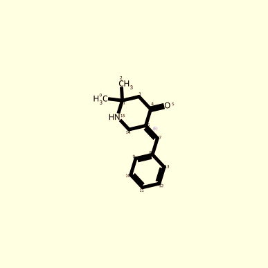 CC1(C)CC(=O)/C(=C/c2ccccc2)CN1